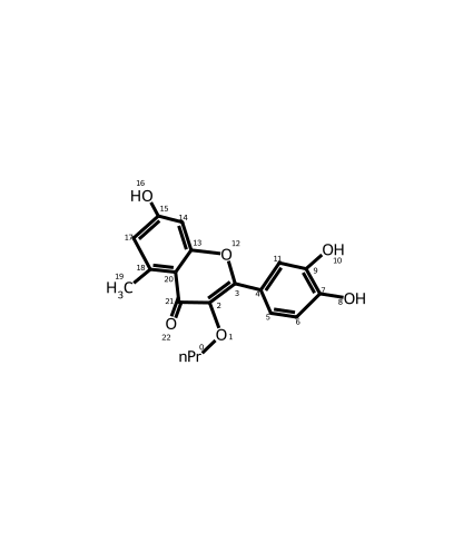 CCCOc1c(-c2ccc(O)c(O)c2)oc2cc(O)cc(C)c2c1=O